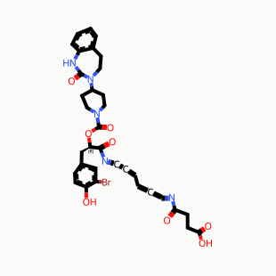 O=C(O)CCC(=O)N=C=C=CC=C=C=NC(=O)[C@@H](Cc1ccc(O)c(Br)c1)OC(=O)N1CCC(N2CCc3ccccc3NC2=O)CC1